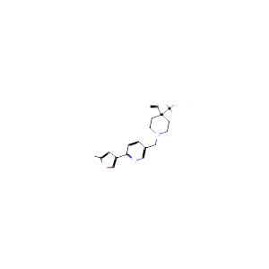 C=CC1(C(C)(C)C)CCN(Cc2ccc(-c3csc(C)c3)nc2)CC1